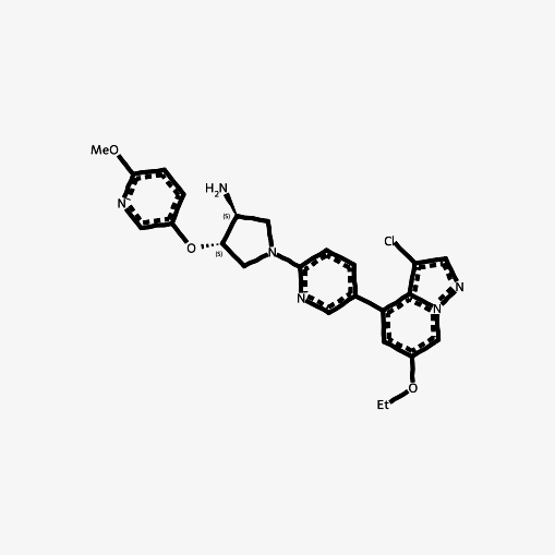 CCOc1cc(-c2ccc(N3C[C@H](Oc4ccc(OC)nc4)[C@@H](N)C3)nc2)c2c(Cl)cnn2c1